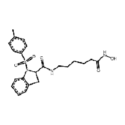 Cc1ccc(S(=O)(=O)N2c3ccccc3CC2C(=O)NCCCCCC(=O)NO)cc1